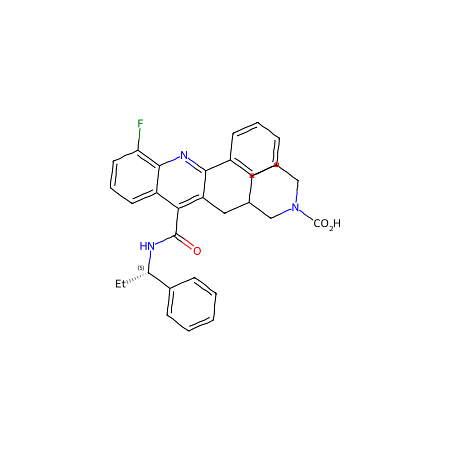 CC[C@H](NC(=O)c1c(CC2CCCN(C(=O)O)C2)c(-c2ccccc2)nc2c(F)cccc12)c1ccccc1